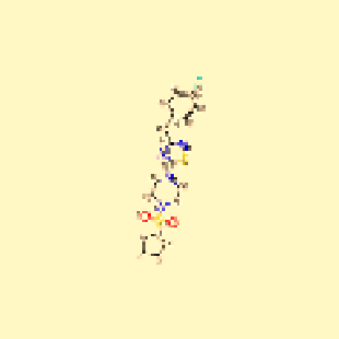 O=S(=O)(C1CCCC1)N1CCN(c2nc(Cc3ccc(F)cc3)ns2)CC1